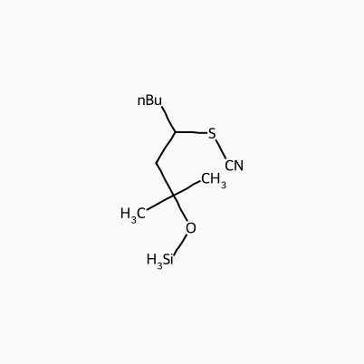 CCCCC(CC(C)(C)O[SiH3])SC#N